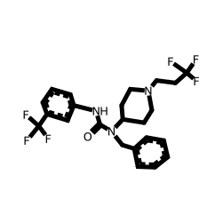 O=C(Nc1cccc(C(F)(F)F)c1)N(Cc1ccccc1)C1CCN(CCC(F)(F)F)CC1